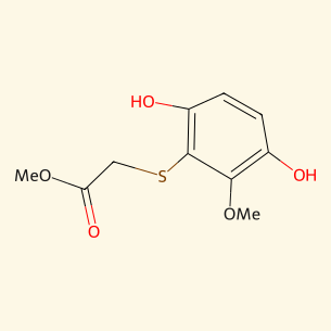 COC(=O)CSc1c(O)ccc(O)c1OC